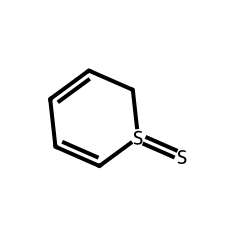 S=S1C=CC=CC1